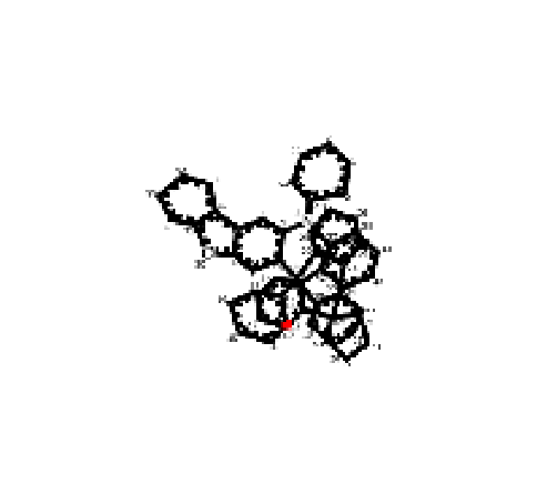 c1ccc(N(c2cc3c(cc2C2(c4ccccc4)c4ccccc4-c4ccccc42)oc2ccccc23)c2cccc3c2-c2ccccc2C32CCCC2)cc1